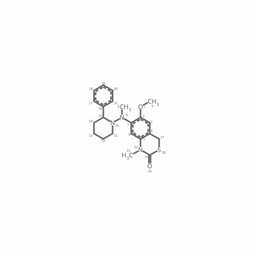 COc1cc2c(cc1N(C)N1CCCCC1c1ccccc1)N(C)C(=O)SC2